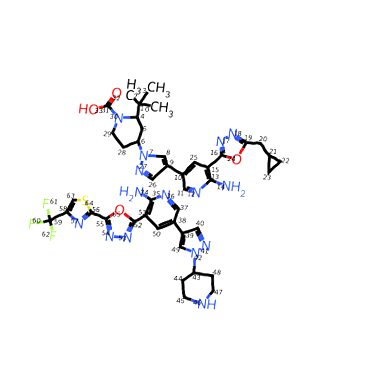 CC(C)(C)C1CC(n2cc(-c3cnc(N)c(-c4nnc(CC5CC5)o4)c3)cn2)CCN1C(=O)O.Nc1ncc(-c2cnn(C3CCNCC3)c2)cc1-c1nnc(-c2nc(C(F)(F)F)cs2)o1